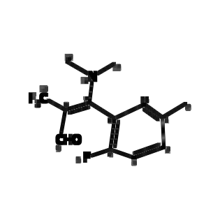 Cc1ccc(F)c(/C(=C(\C=O)C(F)(F)F)N(C)C)c1